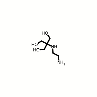 NCCNC(CO)(CO)CO